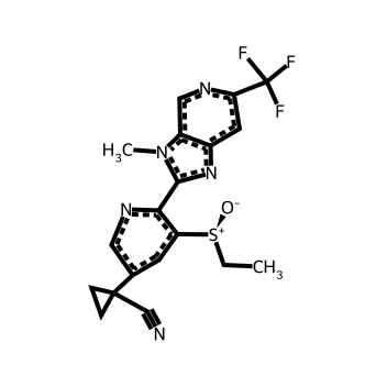 CC[S@+]([O-])c1cc(C2(C#N)CC2)cnc1-c1nc2cc(C(F)(F)F)ncc2n1C